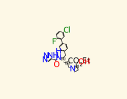 CCOC(=O)[C@@H](C[C@@H](Cc1ccc(-c2cc(Cl)ccc2F)cc1)NC(=O)c1cnn[nH]1)CN1CC[C@@H]1CO